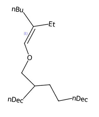 CCCCCCCCCCCCC(CCCCCCCCCC)CO/C=C(\CC)CCCC